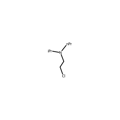 CCCN(CCCl)C(C)C